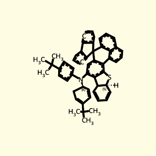 CC(C)(C)C1=CC[C@@H](N(c2ccc(C(C)(C)C)cc2)c2cc3c(c4c2C2C=CC=C[C@@H]2S4)-c2cccc4cccc(c24)C32c3ccccc3-c3ccccc32)C=C1